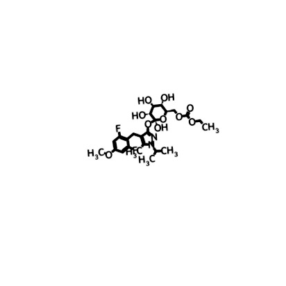 CCOC(=O)OC[C@H]1O[C@@](O)(Oc2nn(C(C)C)c(C)c2Cc2c(F)cc(OC)cc2F)[C@H](O)[C@@H](O)[C@@H]1O